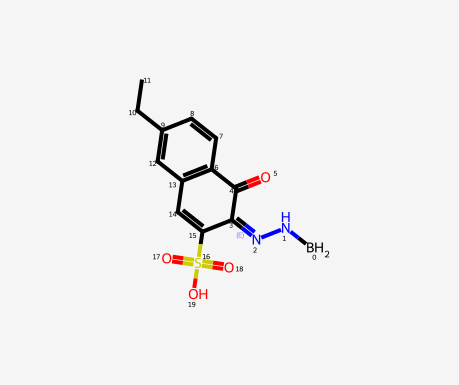 BN/N=C1\C(=O)c2ccc(CC)cc2C=C1S(=O)(=O)O